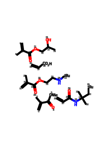 C=C(C)C(=O)OC.C=C(C)C(=O)OCC(C)O.C=C(C)C(=O)OCCNC(C)(C)C.C=CC(=O)NC(C)(C)CC(C)(C)C.C=CC(=O)O